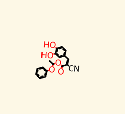 CC(OC(=O)C(C#N)=Cc1ccc(O)c(O)c1)Oc1ccccc1